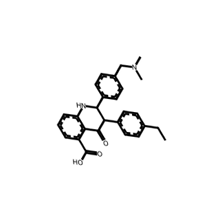 CCc1ccc(C2C(=O)c3c(cccc3C(=O)O)NC2c2ccc(CN(C)C)cc2)cc1